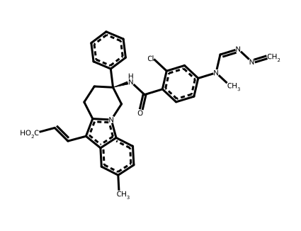 C=N/N=C\N(C)c1ccc(C(=O)N[C@]2(c3ccccc3)CCc3c(/C=C/C(=O)O)c4cc(C)ccc4n3C2)c(Cl)c1